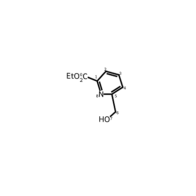 CCOC(=O)c1cccc(CO)n1